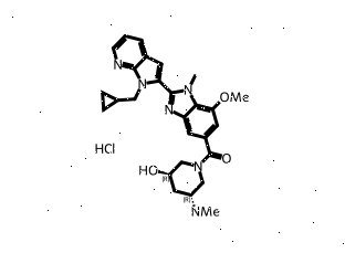 CN[C@@H]1C[C@@H](O)CN(C(=O)c2cc(OC)c3c(c2)nc(-c2cc4cccnc4n2CC2CC2)n3C)C1.Cl